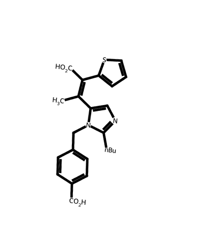 CCCCc1ncc(C(C)=C(C(=O)O)c2cccs2)n1Cc1ccc(C(=O)O)cc1